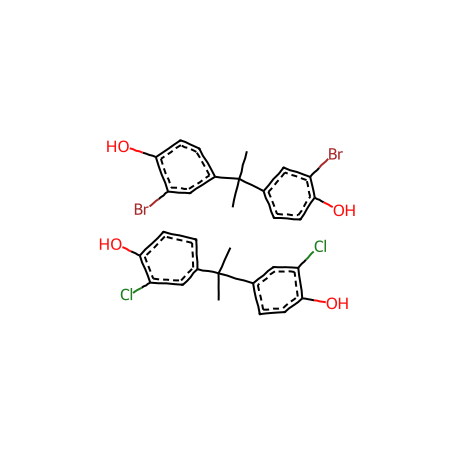 CC(C)(c1ccc(O)c(Br)c1)c1ccc(O)c(Br)c1.CC(C)(c1ccc(O)c(Cl)c1)c1ccc(O)c(Cl)c1